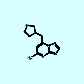 Cc1cc(CC2CCNC2)n2ncnc2n1